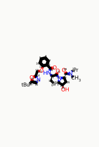 CC(C)C[C@@H](NC(=O)c1ccccc1OCc1ncc(C(C)(C)C)o1)C(=O)N1C[C@H](O)C[C@H]1C(=O)N(C)C(C)C